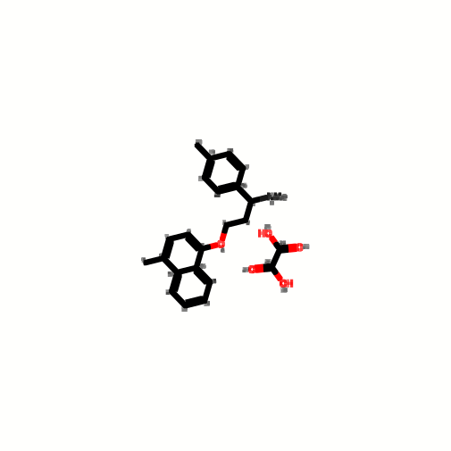 CNC(CCOc1ccc(C)c2ccccc12)c1ccc(C)cc1.O=C(O)C(=O)O